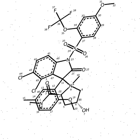 CNC(=O)[C@@H]1C[C@@H](O)C[N+]1(C)C1(c2cc(C)ccc2OC)C(=O)N(S(=O)(=O)c2ccc(OC)cc2OC(F)(F)F)c2ccc(Cl)c(Cl)c21